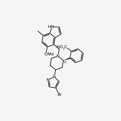 COc1cc(C)c2[nH]ccc2c1CN1CCC(n2cc(Br)cn2)C[C@@H]1c1ccccc1C(=O)O